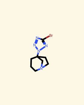 Brc1nnn(C23CCCN(CC2)C3)n1